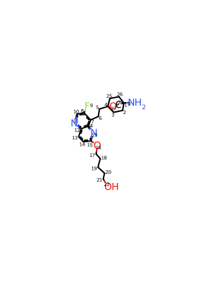 NC12CCC(CCc3c(F)cnc4ccc(OCCCCCO)nc34)(CC1)OC2